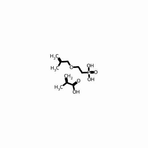 C=C(C)C(=O)O.C=C(C)COCCP(=O)(O)O